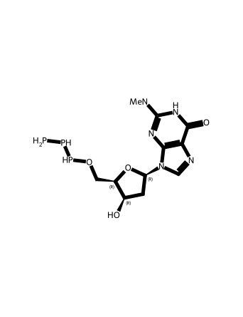 CNc1nc2c(ncn2[C@H]2C[C@@H](O)[C@@H](COPPP)O2)c(=O)[nH]1